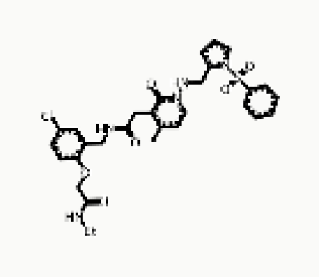 CCNC(=O)COc1ccc(Cl)cc1CNC(=O)Cc1c(C)ccn(NCc2cccn2S(=O)(=O)c2ccccc2)c1=O